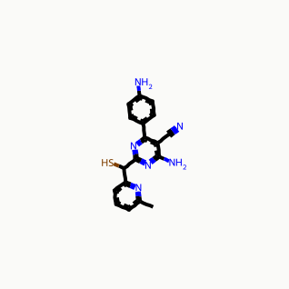 Cc1cccc(C(S)c2nc(N)c(C#N)c(-c3ccc(N)cc3)n2)n1